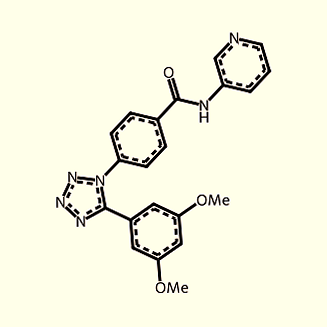 COc1cc(OC)cc(-c2nnnn2-c2ccc(C(=O)Nc3cccnc3)cc2)c1